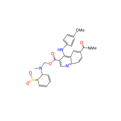 CNC(=O)c1ccc2ncc(C(=O)OCN(C)C3C=CC=CC3=S(=O)=O)c(Nc3ccc(OC)cc3)c2c1